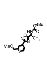 COCc1cc(-c2noc([C@H](C)NC(=O)OC(C)(C)C)n2)ccn1